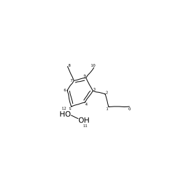 CCCc1cccc(C)c1C.OO